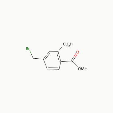 COC(=O)c1ccc(CBr)cc1C(=O)O